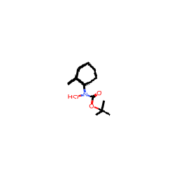 CC1CCCCC1N(O)C(=O)OC(C)(C)C